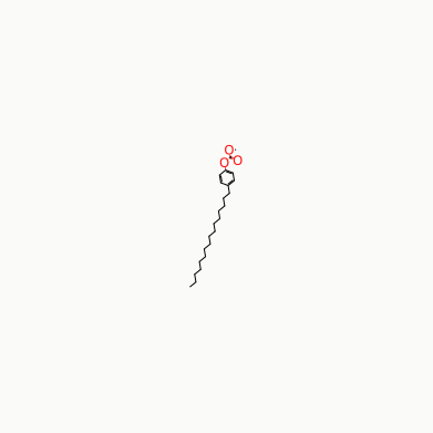 CCCCCCCCCCCCCCCCc1ccc(OC([O])=O)cc1